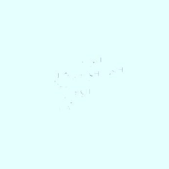 CC[C@@H]1C2C[C@H](O)CC[C@]2(C)C2CC[C@@]3(C)C(CCC3[C@H](C)CCCO)C2[C@@H]1O